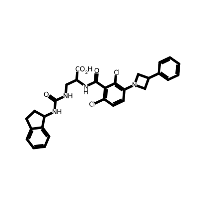 O=C(NCC(NC(=O)c1c(Cl)ccc(N2CC(c3ccccc3)C2)c1Cl)C(=O)O)NC1CCc2ccccc21